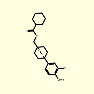 COc1ccc(C23CCC(CNC(=O)C4CCCCC4)(CC2)CC3)cc1C